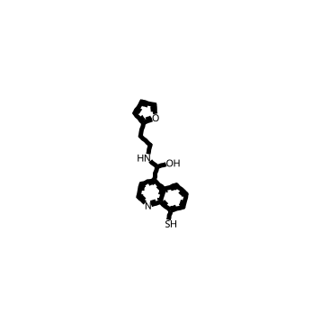 OC(NCCc1ccco1)c1ccnc2c(S)cccc12